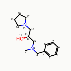 CN(Cc1ccccc1)C[C@@H](O)CN1CCCC1